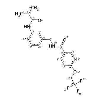 CC(C)C(=O)Nc1cc(CNC(=O)c2ccc(OCC(F)(F)F)nc2)ccn1